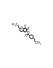 CCCC1CCC(C(=O)Oc2cc3c(c(F)c2F)OC(CCC)CC3)CC1